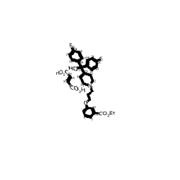 CCOC(=O)c1cccc(OCCCN2CCC(C(O)(c3ccc(F)cc3)c3ccc(F)cc3)CC2)c1.O=C(O)C=CC(=O)O